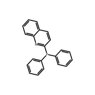 c1ccc(P(c2ccccc2)c2ccc3ccccc3n2)cc1